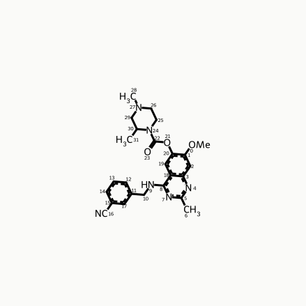 COc1cc2nc(C)nc(NCc3cccc(C#N)c3)c2cc1OC(=O)N1CCN(C)CC1C